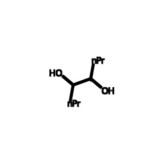 CCC[C](O)C(O)CCC